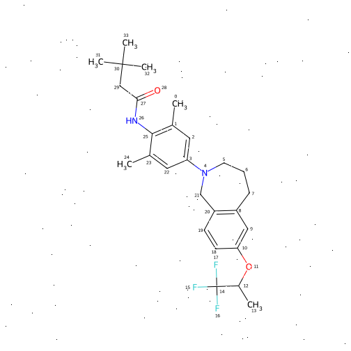 Cc1cc(N2CCCc3cc(OC(C)C(F)(F)F)ccc3C2)cc(C)c1NC(=O)CC(C)(C)C